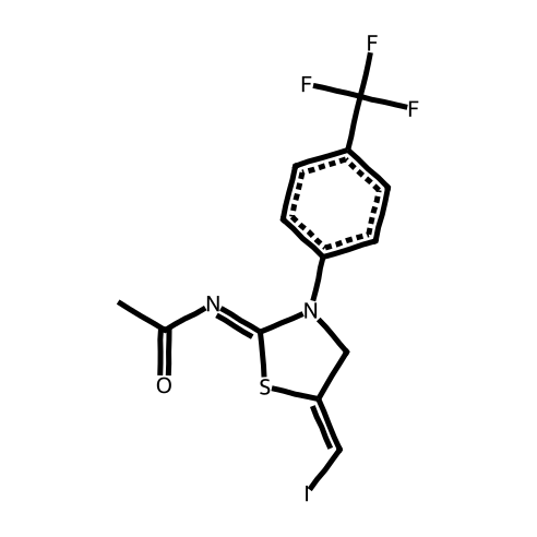 CC(=O)N=C1SC(=CI)CN1c1ccc(C(F)(F)F)cc1